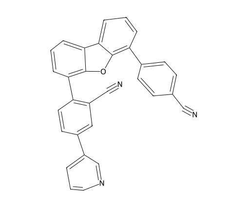 N#Cc1ccc(-c2cccc3c2oc2c(-c4ccc(-c5cccnc5)cc4C#N)cccc23)cc1